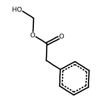 O=C(Cc1ccccc1)OCO